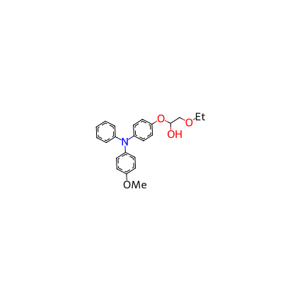 CCOCC(O)Oc1ccc(N(c2ccccc2)c2ccc(OC)cc2)cc1